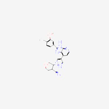 COc1cc(-c2nc3c(-c4cnn(C5COCCC5C#N)c4)ccnc3[nH]2)ccc1Cl